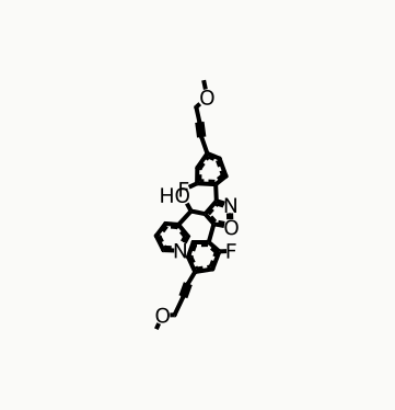 COCC#Cc1ccc(-c2noc(-c3ccc(C#CCOC)cc3F)c2C(O)c2cccnc2)c(F)c1